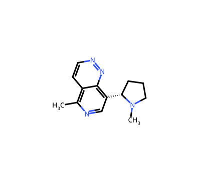 Cc1ncc([C@@H]2CCCN2C)c2nnccc12